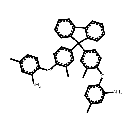 Cc1ccc(Oc2ccc(C3(c4ccc(Oc5ccc(C)cc5N)c(C)c4)c4ccccc4-c4ccccc43)cc2C)c(N)c1